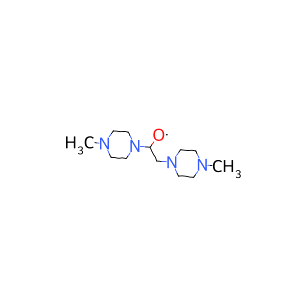 CN1CCN(CC([O])N2CCN(C)CC2)CC1